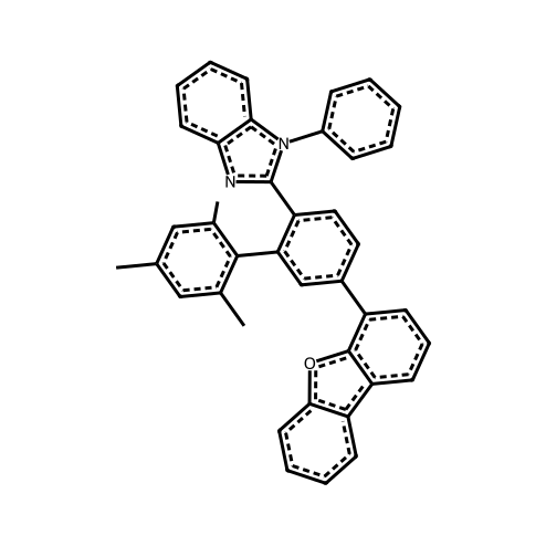 Cc1cc(C)c(-c2cc(-c3cccc4c3oc3ccccc34)ccc2-c2nc3ccccc3n2-c2ccccc2)c(C)c1